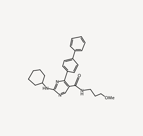 COCCCNC(=O)c1cnc(NC2CCCCC2)nc1-c1ccc(-c2ccccc2)cc1